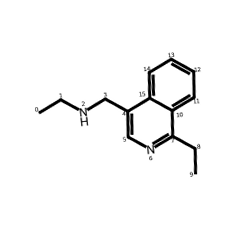 CCNCc1cnc(CC)c2ccccc12